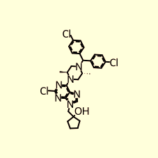 C[C@@H]1CN(c2nc(Cl)nc3c2ncn3CC2(O)CCCC2)[C@@H](C)CN1C(c1ccc(Cl)cc1)c1ccc(Cl)cc1